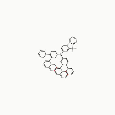 CC1(C)c2ccccc2-c2ccc(N(C3=CC(c4cccc5ccccc45)C(c4ccccc4)C=C3)C3C=CC(C4C=CC=CC4)=C(c4cccc5ccccc45)C3)cc21